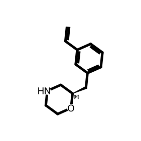 C=Cc1cccc(C[C@@H]2CNCCO2)c1